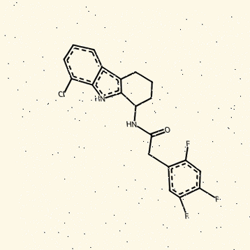 O=C(Cc1cc(F)c(F)cc1F)NC1CCCc2c1[nH]c1c(Cl)cccc21